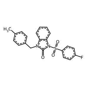 Cc1ccc(Cn2c(=O)n(S(=O)(=O)c3ccc(F)cc3)c3ccccc32)cc1